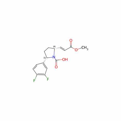 COC(=O)C=C[C@H]1CC[C@@H](c2ccc(F)c(F)c2)N1C(=O)O